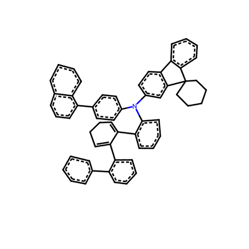 C1=C(c2ccccc2-c2ccccc2)C(c2ccccc2N(c2ccc(-c3cccc4ccccc34)cc2)c2ccc3c(c2)C2(CCCCC2)c2ccccc2-3)=CCC1